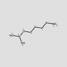 NCCCCON(O)O